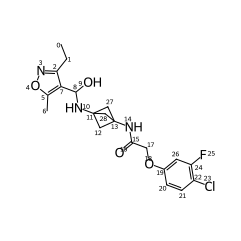 CCc1noc(C)c1C(O)NC12CC(NC(=O)COc3ccc(Cl)c(F)c3)(C1)C2